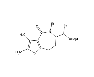 CCCCCCCC(CC)C1CCc2sc(N)c(C)c2C(=O)N1CC